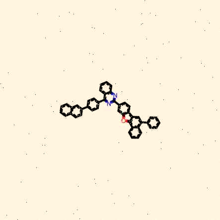 c1ccc(-c2cc3c4ccc(-c5nc(-c6ccc(-c7ccc8ccccc8c7)cc6)c6ccccc6n5)cc4oc3c3ccccc23)cc1